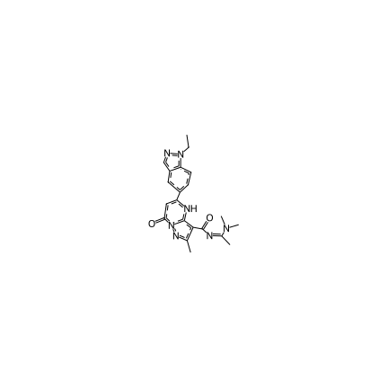 CCn1ncc2cc(-c3cc(=O)n4nc(C)c(C(=O)/N=C(/C)N(C)C)c4[nH]3)ccc21